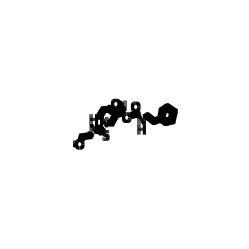 COCCNC(=S)N1CCc2onc(OC(=O)NCCc3ccccc3)c2C1